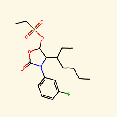 CCCCC(CC)C1C(OS(=O)(=O)CC)OC(=O)N1c1cccc(F)c1